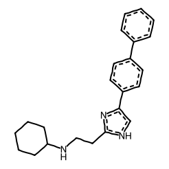 c1ccc(-c2ccc(-c3c[nH]c(CCNC4CCCCC4)n3)cc2)cc1